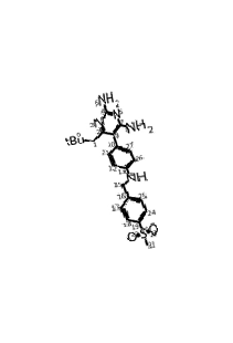 CC(C)(C)Cc1nc(N)nc(N)c1-c1ccc(NCc2ccc(S(C)(=O)=O)cc2)cc1